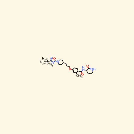 Cc1cc(OCCCC2CCN(c3nc(C(C)(C)C)no3)CC2)ccc1C(=O)NC1CCCNC1=O